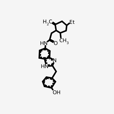 C=C1CC(CC)CC(C)C1CC(=O)Nc1ccc2[nH]c(Cc3cccc(O)c3)nc2c1